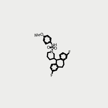 COc1ccc(NS(=O)(=O)N2CCCC(C3c4ccc(F)cc4CCc4cc(F)ccc43)C2)cc1